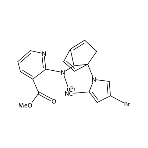 CCCN(c1ncccc1C(=O)OC)C1C2=CCC1(n1cc(Br)cc1C#N)C=C2